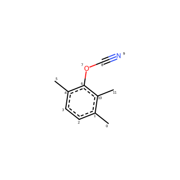 Cc1ccc(C)c(OC#N)c1C